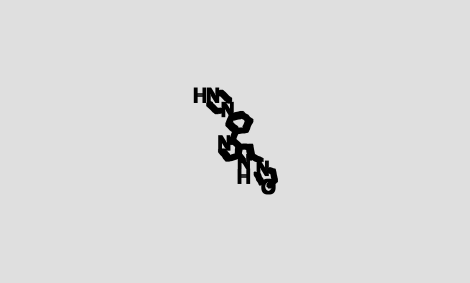 c1cc(-c2nccc3[nH]c(CN4CCOCC4)cc23)cc(N2CCNCC2)c1